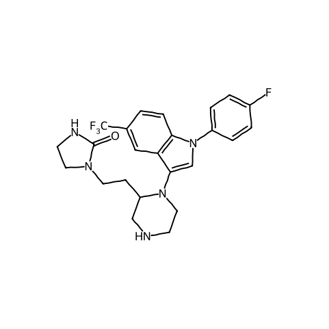 O=C1NCCN1CCC1CNCCN1c1cn(-c2ccc(F)cc2)c2ccc(C(F)(F)F)cc12